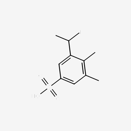 Cc1cc(S(=O)(=O)O)cc(C(C)I)c1C